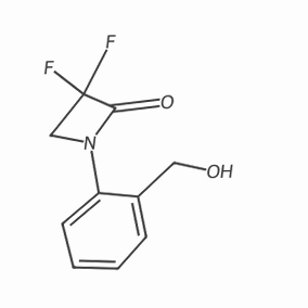 O=C1N(c2ccccc2CO)CC1(F)F